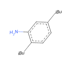 CCC(C)c1ccc(C(C)CC)c(N)c1